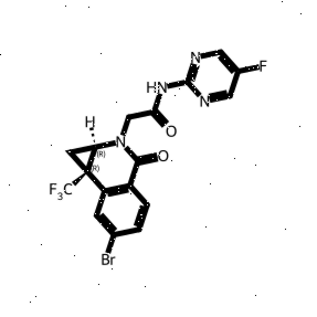 O=C(CN1C(=O)c2ccc(Br)cc2[C@]2(C(F)(F)F)C[C@@H]12)Nc1ncc(F)cn1